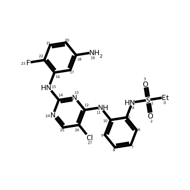 CCS(=O)(=O)Nc1ccccc1Nc1nc(Nc2cc(N)ccc2F)ncc1Cl